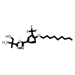 CCCCCCCCCOc1ccc(-c2nnc(C(C)(N)CO)s2)cc1C(F)(F)F